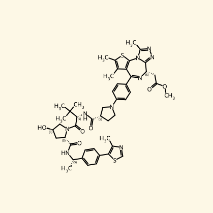 COC(=O)C[C@@H]1N=C(c2ccc(N3CC[C@H](C(=O)N[C@H](C(=O)N4C[C@H](O)C[C@H]4C(=O)N[C@@H](C)c4ccc(-c5scnc5C)cc4)C(C)(C)C)C3)cc2)c2c(sc(C)c2C)-n2c(C)nnc21